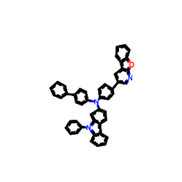 c1ccc(-c2ccc(N(c3ccc(-c4cnc5oc6ccccc6c5c4)cc3)c3ccc4c5ccccc5n(-c5ccccc5)c4c3)cc2)cc1